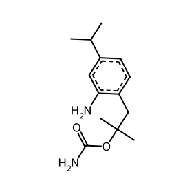 CC(C)c1ccc(CC(C)(C)OC(N)=O)c(N)c1